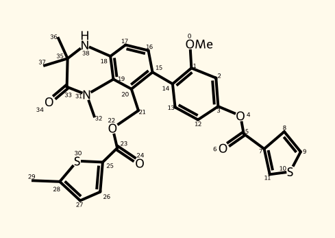 COc1cc(OC(=O)c2ccsc2)ccc1-c1ccc2c(c1COC(=O)c1ccc(C)s1)N(C)C(=O)C(C)(C)N2